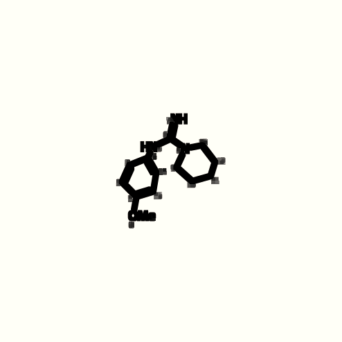 COc1ccc(NC(=N)N2CCCCC2)cc1